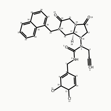 C#CCN(C(=O)NCC1=CC(Cl)C(Cl)C=C1)N1CC(=O)N2CC(=O)N(Cc3cccc4ccccc34)C[C@@H]21